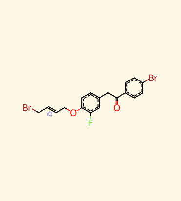 O=C(Cc1ccc(OC/C=C/CBr)c(F)c1)c1ccc(Br)cc1